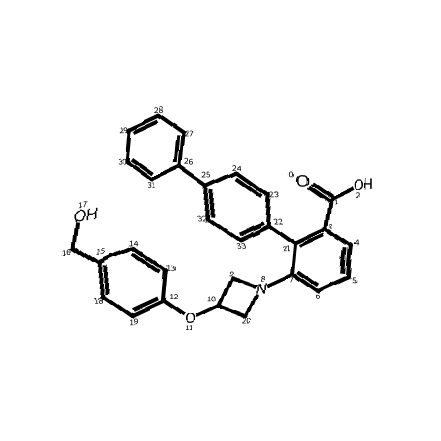 O=C(O)c1cccc(N2CC(Oc3ccc(CO)cc3)C2)c1-c1ccc(-c2ccccc2)cc1